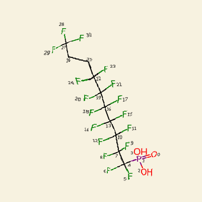 O=P(O)(O)C(F)(F)C(F)(F)C(F)(F)C(F)(F)C(F)(F)C(F)(F)C(F)(F)CCC(F)(F)F